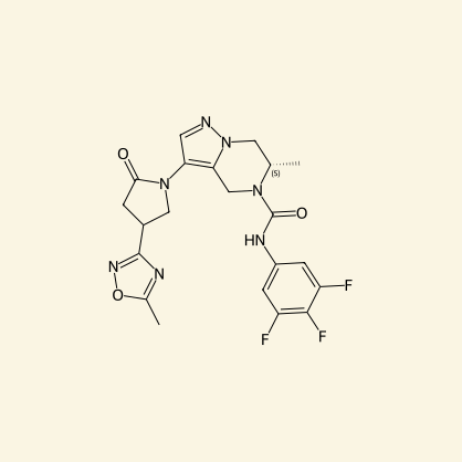 Cc1nc(C2CC(=O)N(c3cnn4c3CN(C(=O)Nc3cc(F)c(F)c(F)c3)[C@@H](C)C4)C2)no1